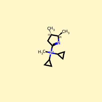 C[C@H]1CC([N+](C)(C2CC2)C2CC2)=N[C@@H]1C